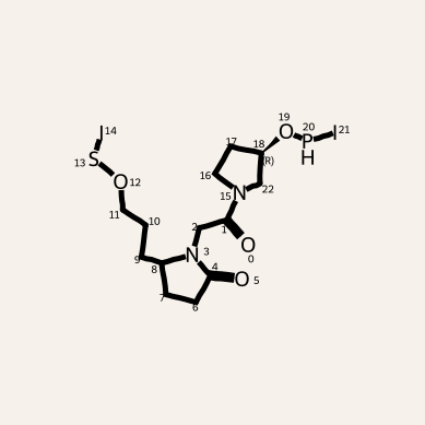 O=C(CN1C(=O)CCC1CCCOSI)N1CC[C@@H](OPI)C1